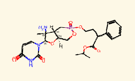 CC(C)OC(=O)C(CCOP1(=O)C[C@@H]2[C@@H](CO1)O[C@@H](n1ccc(=O)[nH]c1=O)[C@]2(C)N)c1ccccc1